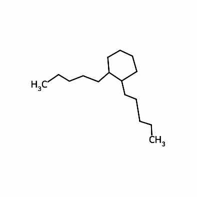 CCCCCC1CCCCC1CCCCC